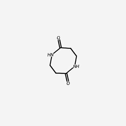 O=C1CCNC(=O)CCN1